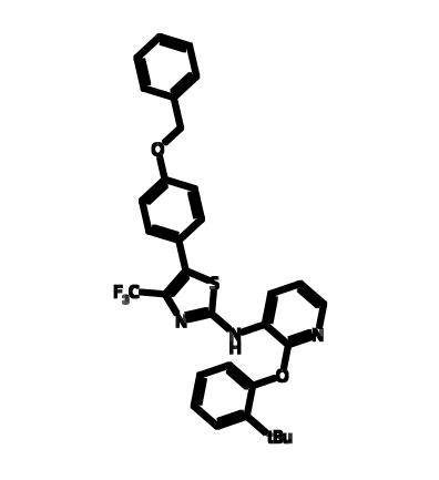 CC(C)(C)c1ccccc1Oc1ncccc1Nc1nc(C(F)(F)F)c(-c2ccc(OCc3ccccc3)cc2)s1